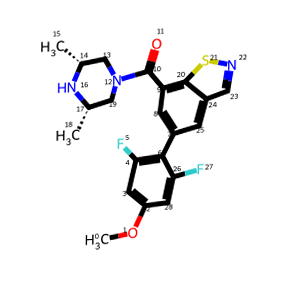 COc1cc(F)c(-c2cc(C(=O)N3C[C@@H](C)N[C@@H](C)C3)c3sncc3c2)c(F)c1